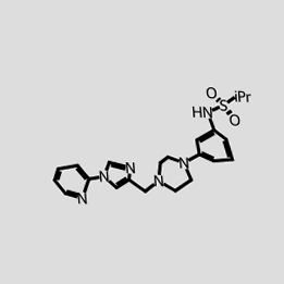 CC(C)S(=O)(=O)Nc1cccc(N2CCN(Cc3cn(-c4ccccn4)cn3)CC2)c1